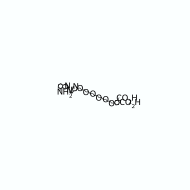 Nc1cccc2cnc(-n3ccc4cc(OCCOCCOCCOCCOCCOc5ccc(C(=O)O)c(C(=O)O)c5)ncc43)cc12